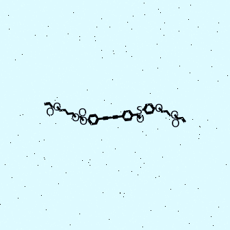 C=CC(=O)OCCCCOC(=O)Oc1ccc(C#CC#Cc2ccc(C(=O)Sc3ccc(OCCCOC(=O)C=C)cc3)cc2)cc1